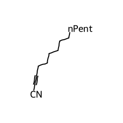 CCCCCCCCCCCC#CC#N